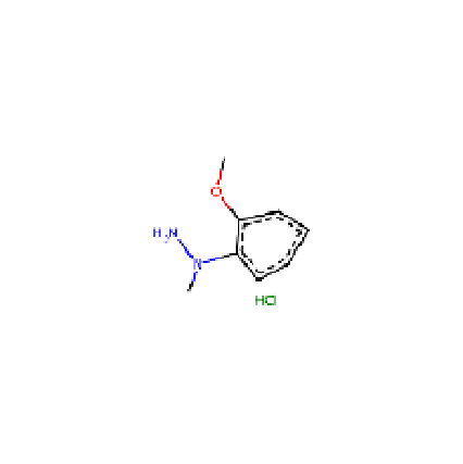 COc1ccccc1N(C)N.Cl